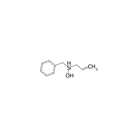 C=CC[SiH](O)Cc1ccccc1